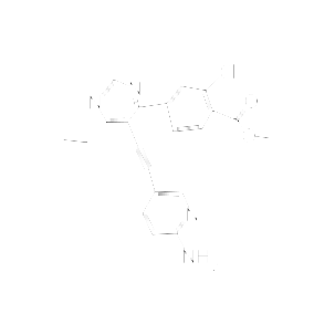 CCc1ncnc(-c2ccc(C(=O)OC)c(Cl)c2)c1C#Cc1ccc(N)nc1